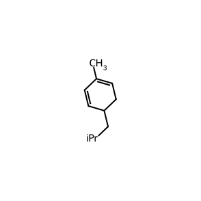 CC1=CCC(CC(C)C)C=C1